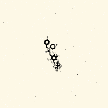 [2H]c1c([2H])c(OC([2H])([2H])C([2H])(C([2H])([2H])[2H])C([2H])([2H])[2H])c([2H])c([2H])c1CNC(=O)N(Cc1ccc(F)cc1)C1CCN(C)CC1